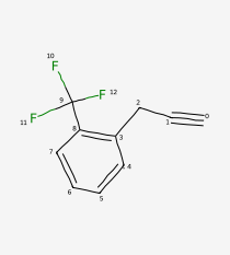 C#CCc1[c]cccc1C(F)(F)F